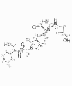 Cc1cccc(C(CO)NC(=O)C(C)N2Cc3ccc(-c4nc(N[C@H]5C[C@H](CO)C5)ncc4Cl)cc3C2=O)c1